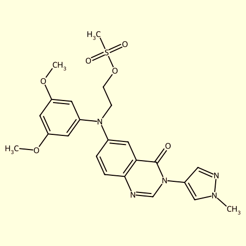 COc1cc(OC)cc(N(CCOS(C)(=O)=O)c2ccc3ncn(-c4cnn(C)c4)c(=O)c3c2)c1